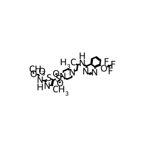 COC(=O)Nc1nc(C)c(S(=O)(=O)N2CCN(CC(C)Nc3ncnc4c(OC(F)(F)F)cccc34)CC2)s1